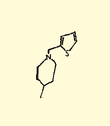 [CH2]C1CCN(Cc2cccs2)CC1